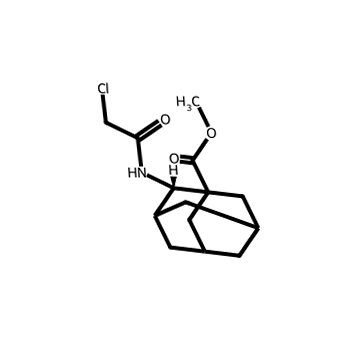 COC(=O)C12CC3CC(CC(C3)[C@@H]1NC(=O)CCl)C2